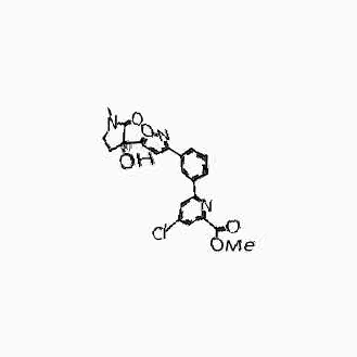 COC(=O)c1cc(Cl)cc(-c2cccc(-c3cc([C@]4(O)CCN(C)C4=O)on3)c2)n1